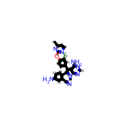 Cc1ccnc(Oc2ccc(-c3c(-c4ccc(N)cc4C#N)n(C)c4ncnc(N)c34)cc2F)n1